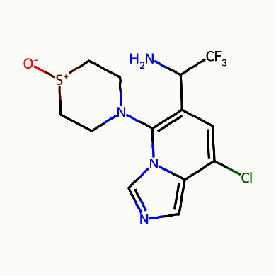 NC(c1cc(Cl)c2cncn2c1N1CC[S+]([O-])CC1)C(F)(F)F